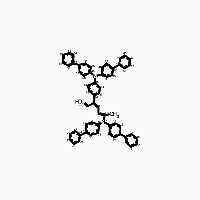 C=C/C(=C\C=C(/C)N(c1ccc(-c2ccccc2)cc1)c1ccc(-c2ccccc2)cc1)c1ccc(N(c2ccc(-c3ccccc3)cc2)c2ccc(-c3ccccc3)cc2)cc1